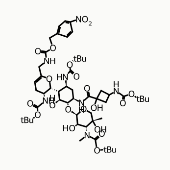 CN(C(=O)OC(C)(C)C)[C@@H]1[C@@H](O)[C@@H](O[C@H]2[C@H](NC(=O)C3(O)CC(NC(=O)OC(C)(C)C)C3)C[C@H](NC(=O)OC(C)(C)C)C([C@H]3OC(CNC(=O)OCc4ccc([N+](=O)[O-])cc4)=CC[C@H]3NC(=O)OC(C)(C)C)[C@@H]2O)OC[C@]1(C)O